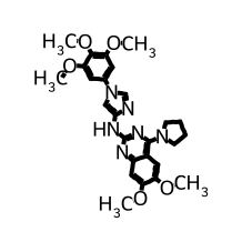 COc1cc2nc(Nc3cn(-c4cc(OC)c(OC)c(OC)c4)cn3)nc(N3CCCC3)c2cc1OC